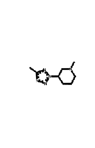 Cc1nnn(C2CCCN(C)C2)n1